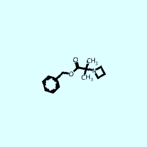 CC(C)(C(=O)OCc1ccccc1)N1CCC1